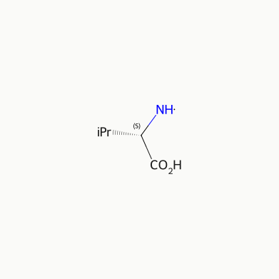 CC(C)[C@H]([NH])C(=O)O